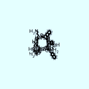 CC(C)[C@@H]1NC(=O)[C@H](CCCCN)NC(=O)[C@@H](Cc2ccc3ccccc3c2)NC(=O)[C@H](Cc2ccc(O)cc2)NC(=O)[C@@H](NC(=O)[C@H](N)Cc2ccc3ccccc3c2)CSSC[C@@H](C(=O)N[C@H](C(N)=O)C(C)O)NC1=O